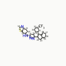 FC(F)(F)c1ccc(-c2cc(Nc3ccc4ncsc4c3)nnc2-c2ccc3ccccc3c2)cc1